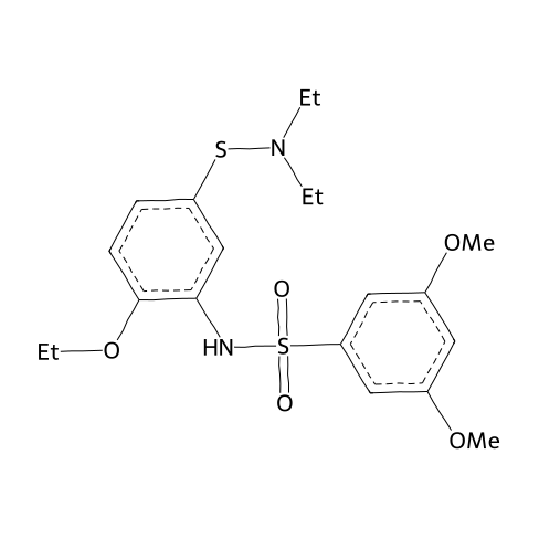 CCOc1ccc(SN(CC)CC)cc1NS(=O)(=O)c1cc(OC)cc(OC)c1